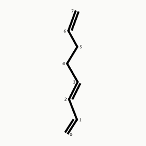 C=C/C=C/CCC=C